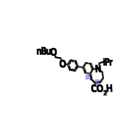 CCCCOCCOc1ccc(C2=C/C3=C/C(C(=O)O)=C\CCN(CC(C)C)C3=CC2)cc1